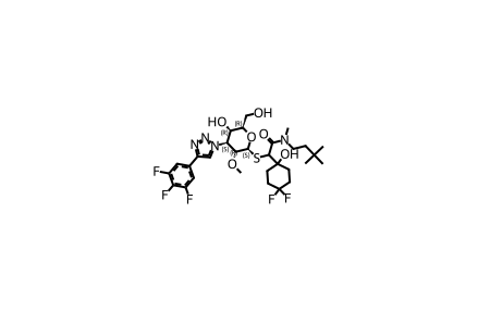 CO[C@@H]1[C@@H](n2cc(-c3cc(F)c(F)c(F)c3)nn2)[C@@H](O)[C@@H](CO)O[C@H]1SC(C(=O)N(C)CCC(C)(C)C)C1(O)CCC(F)(F)CC1